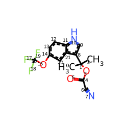 CC(C)(OC(=O)C#N)c1c[nH]c2ccc(OC(F)(F)F)cc12